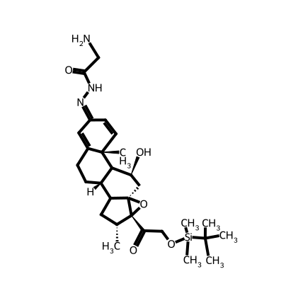 C[C@@H]1CC2[C@@H]3CCC4=C/C(=N/NC(=O)CN)C=C[C@]4(C)C3[C@@H](O)C[C@@]23O[C@]13C(=O)CO[Si](C)(C)C(C)(C)C